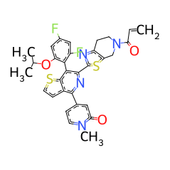 C=CC(=O)N1CCc2nc(-c3nc(-c4ccn(C)c(=O)c4)c4ccsc4c3-c3c(F)cc(F)cc3OC(C)C)sc2C1